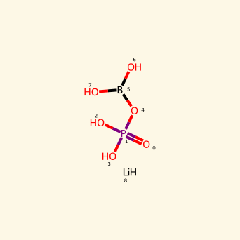 O=P(O)(O)OB(O)O.[LiH]